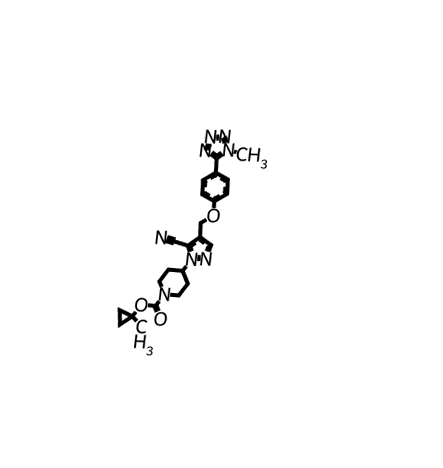 Cn1nnnc1-c1ccc(OCc2cnn(C3CCN(C(=O)OC4(C)CC4)CC3)c2C#N)cc1